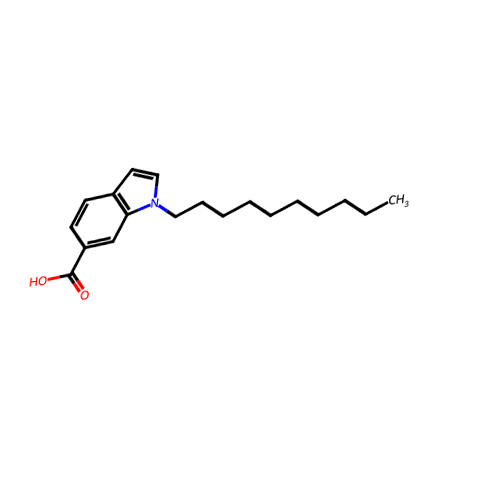 CCCCCCCCCCn1ccc2ccc(C(=O)O)cc21